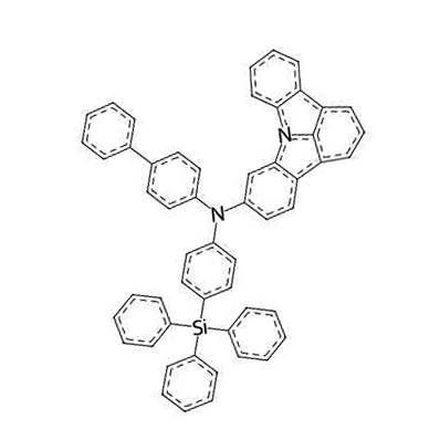 c1ccc(-c2ccc(N(c3ccc([Si](c4ccccc4)(c4ccccc4)c4ccccc4)cc3)c3ccc4c5cccc6c7ccccc7n(c4c3)c65)cc2)cc1